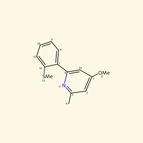 COc1cc(C)nc(-c2ccccc2SC)c1